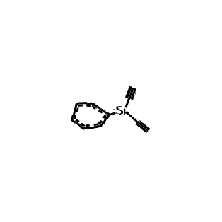 C#C[Si](C#C)c1ccccc1